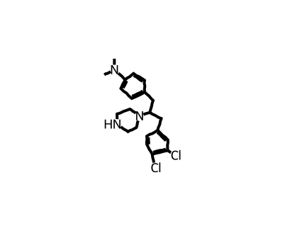 CN(C)c1ccc(CC(Cc2ccc(Cl)c(Cl)c2)N2CCNCC2)cc1